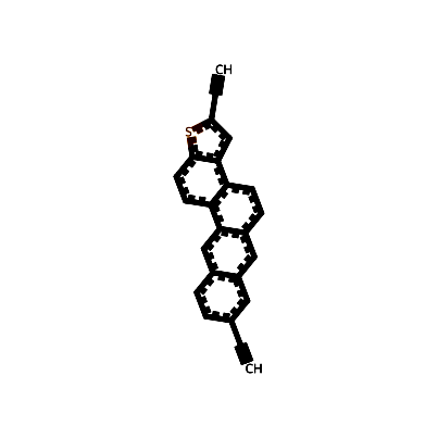 C#Cc1ccc2cc3c(ccc4c5cc(C#C)sc5ccc34)cc2c1